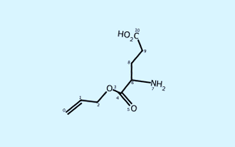 C=CCOC(=O)C(N)CCC(=O)O